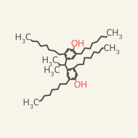 CCCCCCCCc1cc(C(c2cc(CCCCCCCC)c(O)cc2CCCCCCCC)C(C)C)c(CCCCCCCC)cc1O